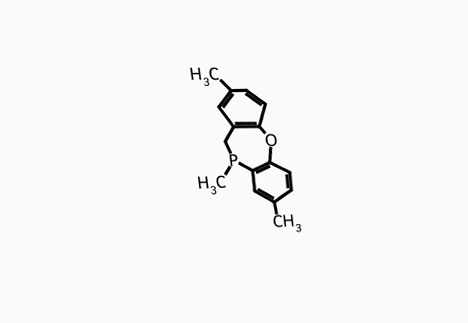 Cc1ccc2c(c1)CP(C)c1cc(C)ccc1O2